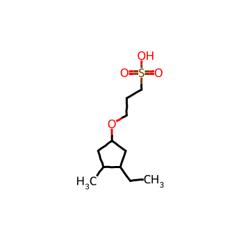 CCC1CC(OCCCS(=O)(=O)O)CC1C